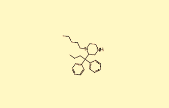 CCCCCN1CCNCC1C(CCC)(c1ccccc1)c1ccccc1